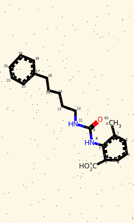 Cc1cccc(C(=O)O)c1NC(=O)NCCCCCc1ccccc1